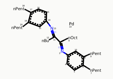 CCCCCCCCC(=N\c1ccc(CCCCC)c(CCCCC)c1)/C(CCCC)=N/c1ccc(CCCCC)c(CCCCC)c1.[Pd]